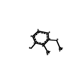 Cc1cccc(CBr)c1Br